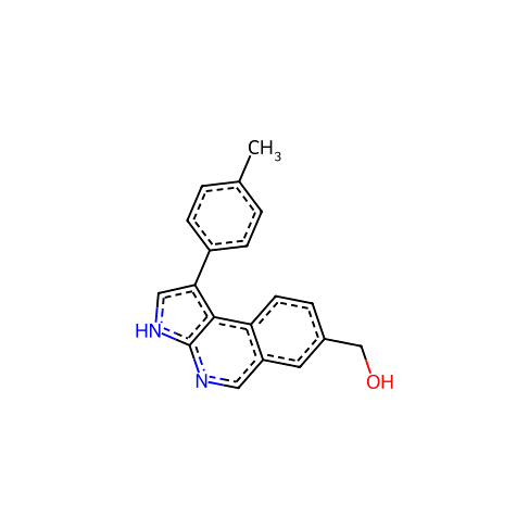 Cc1ccc(-c2c[nH]c3ncc4cc(CO)ccc4c23)cc1